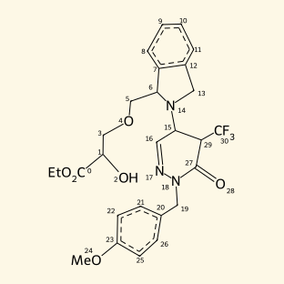 CCOC(=O)C(O)COCC1c2ccccc2CN1C1C=NN(Cc2ccc(OC)cc2)C(=O)C1C(F)(F)F